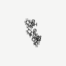 CC1CN(C(=O)c2cc(Cc3n[nH]c(=O)c4ccccc34)ccc2F)Cc2nnc(-c3cccs3)n21